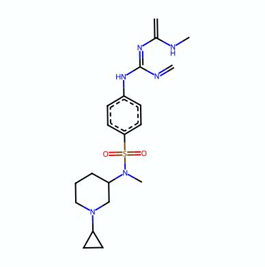 C=N/C(=N\C(=C)NC)Nc1ccc(S(=O)(=O)N(C)C2CCCN(C3CC3)C2)cc1